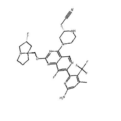 Cc1cc(N)nc(-c2ncc3c(N4CCN[C@@H](CC#N)C4)nc(OC[C@@]45CCCN4C[C@H](F)C5)nc3c2F)c1C(F)(F)F